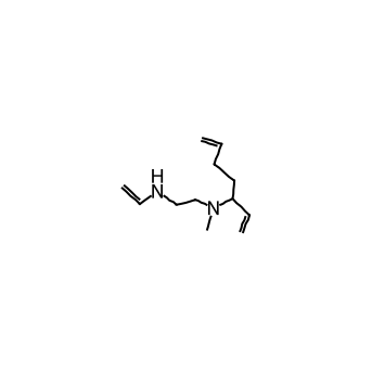 C=CCCC(C=C)N(C)CCNC=C